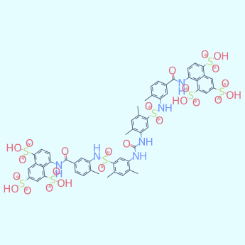 Cc1cc(C)c(S(=O)(=O)Nc2cc(C(=O)Nc3ccc(S(=O)(=O)O)c4cc(S(=O)(=O)O)cc(S(=O)(=O)O)c34)ccc2C)cc1NC(=O)Nc1cc(S(=O)(=O)Nc2cc(C(=O)Nc3ccc(S(=O)(=O)O)c4cc(S(=O)(=O)O)cc(S(=O)(=O)O)c34)ccc2C)c(C)cc1C